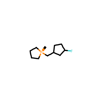 C=P1(CC2CCC(F)C2)CCCC1